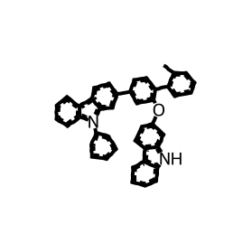 Cc1ccccc1-c1ccc(-c2ccc3c4ccccc4n(-c4ccccc4)c3c2)cc1Oc1ccc2c(c1)[nH]c1ccccc12